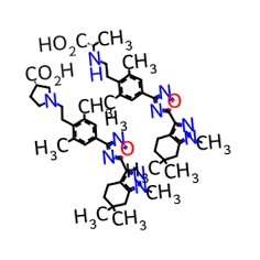 Cc1cc(-c2noc(-c3nn(C)c4c3CCC(C)(C)C4)n2)cc(C)c1CCN1CC[C@H](C(=O)O)C1.Cc1cc(-c2noc(-c3nn(C)c4c3CCC(C)(C)C4)n2)cc(C)c1CCN[C@@H](C)C(=O)O